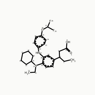 CCC(CC(=O)O)c1ccc(N(CC)C2CCCCC2)c(Nc2ccc(OC(F)F)cc2)c1